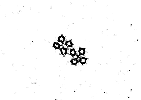 COc1ccccc1[P+](c1ccccc1)(c1ccccc1)c1ccccc1.c1ccc([B-](c2ccccc2)(c2ccccc2)c2ccccc2)cc1